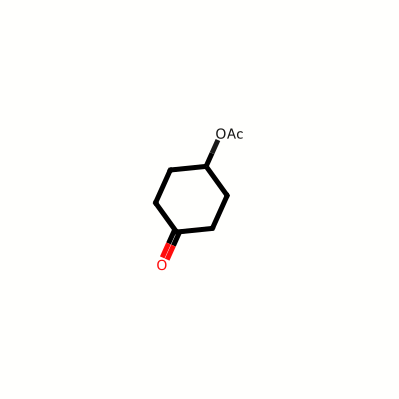 CC(=O)OC1CCC(=O)CC1